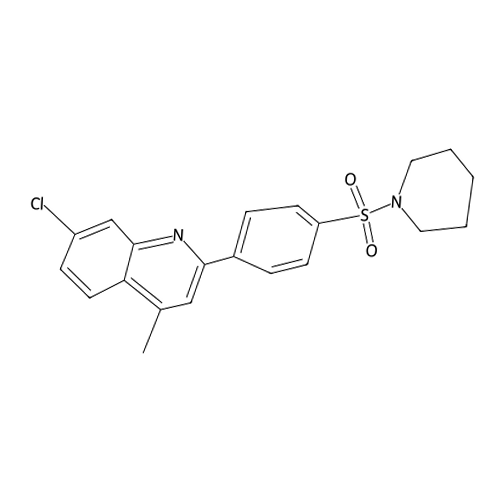 Cc1cc(-c2ccc(S(=O)(=O)N3CCCCC3)cc2)nc2cc(Cl)ccc12